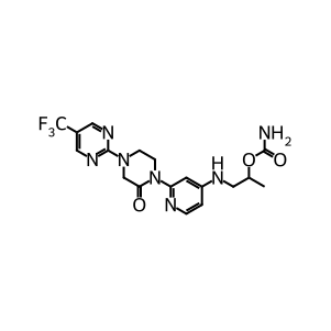 CC(CNc1ccnc(N2CCN(c3ncc(C(F)(F)F)cn3)CC2=O)c1)OC(N)=O